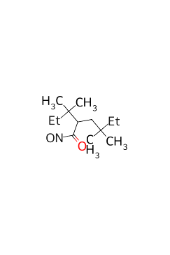 CCC(C)(C)CC(C(=O)N=O)C(C)(C)CC